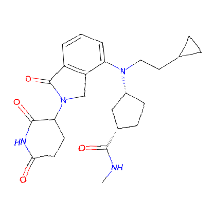 CNC(=O)[C@H]1CC[C@@H](N(CCC2CC2)c2cccc3c2CN(C2CCC(=O)NC2=O)C3=O)C1